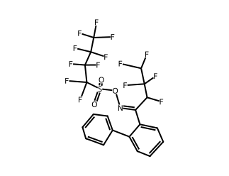 O=S(=O)(ON=C(c1ccccc1-c1ccccc1)C(F)C(F)(F)C(F)F)C(F)(F)C(F)(F)C(F)(F)C(F)(F)F